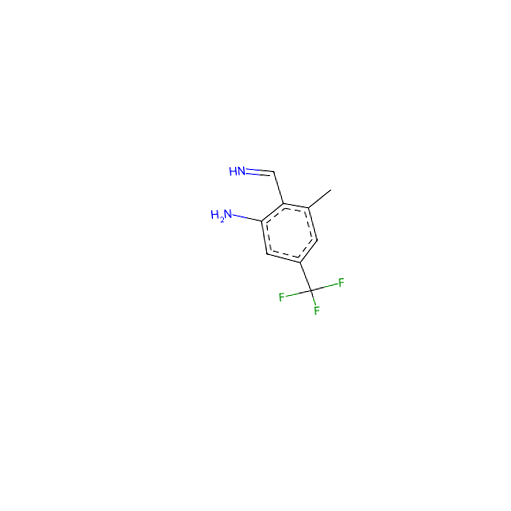 Cc1cc(C(F)(F)F)cc(N)c1C=N